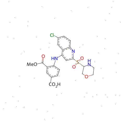 COC(=O)c1cc(C(=O)O)ccc1Nc1cc(S(=O)(=O)C2COCCN2)nc2ccc(Cl)cc12